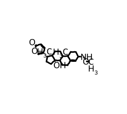 CONC1C=C2CCC3C(CC[C@]4(C)[C@@H](c5ccc(=O)oc5)CC[C@]34O)[C@@]2(C)CC1